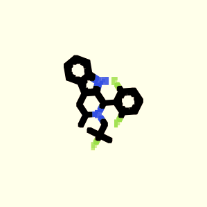 CC1Cc2c([nH]c3ccccc23)C(c2c(F)cccc2F)N1CC(C)(C)F